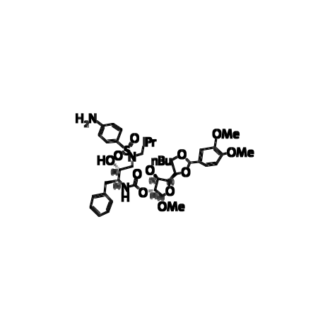 CCCCO[C@@H]1[C@@H](OC(=O)N[C@@H](Cc2ccccc2)[C@H](O)CN(CC(C)C)S(=O)(=O)c2ccc(N)cc2)[C@@H](OC)O[C@@H]1C1COC(c2ccc(OC)c(OC)c2)O1